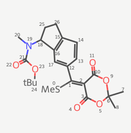 CSC(=C1C(=O)OC(C)(C)OC1=O)c1ccc2c(c1)C(N(C)C(=O)OC(C)(C)C)CC2